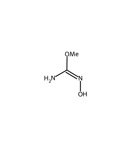 COC(N)=NO